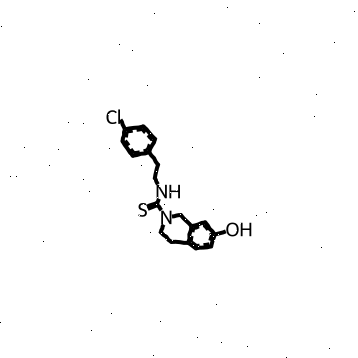 Oc1ccc2c(c1)CN(C(=S)NCCc1ccc(Cl)cc1)CC2